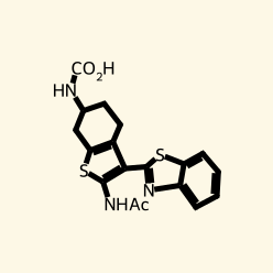 CC(=O)Nc1sc2c(c1-c1nc3ccccc3s1)CCC(NC(=O)O)C2